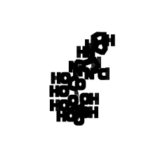 O=P(O)(O)C(CO)(CO)OC[C@H]1O[C@@H](n2ncc3c(N[C@@H]4CC[C@H]5CCC[C@H]54)nc(Cl)nc32)[C@H](O)[C@@H]1O